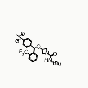 CC(C)(C)NC(=O)N1CC(O[C@H](c2ccc(S(C)(=O)=O)cc2)c2ccccc2C(F)(F)F)C1